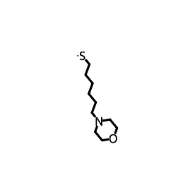 [S]CCCCCCN1CCOCC1